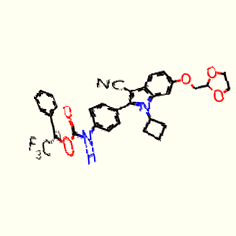 N#Cc1c(-c2ccc(NC(=O)O[C@@H](c3ccccc3)C(F)(F)F)cc2)n(C2CCC2)c2cc(OCC3OCCO3)ccc12